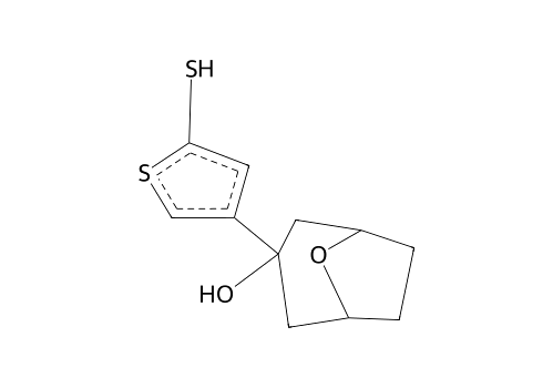 OC1(c2csc(S)c2)CC2CCC(C1)O2